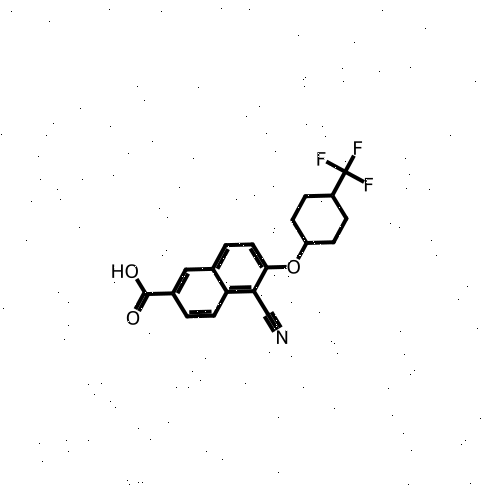 N#Cc1c(OC2CCC(C(F)(F)F)CC2)ccc2cc(C(=O)O)ccc12